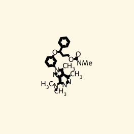 CNC(=O)OCCC(Oc1cccc(-n2nc3c(N(C)C)nnc(C)c3c2C)c1)c1ccccc1